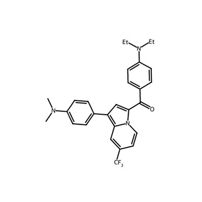 CCN(CC)c1ccc(C(=O)c2cc(-c3ccc(N(C)C)cc3)c3cc(C(F)(F)F)ccn23)cc1